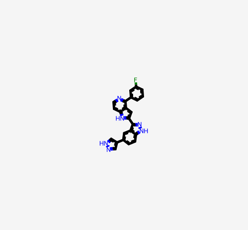 Fc1cccc(-c2nccc3[nH]c(-c4n[nH]c5ccc(-c6cn[nH]c6)cc45)cc23)c1